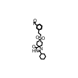 O=Nc1cccc(CCS(=O)(=O)N2CCC3(CC2)N=C(C2CCCCC2)NC3=O)c1